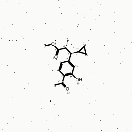 COC(=O)[C@H](C)[C@H](c1ccc(C(C)=O)c(O)c1)C1CC1